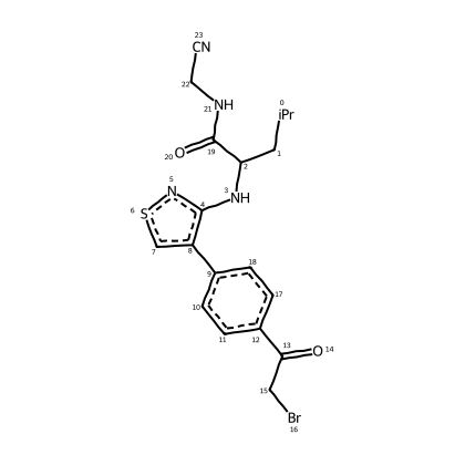 CC(C)CC(Nc1nscc1-c1ccc(C(=O)CBr)cc1)C(=O)NCC#N